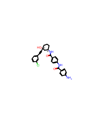 Nc1ccc(C(=O)Nc2ccc(C(=O)N[C@@H]3CCC[C@](O)(C#Cc4cccc(Cl)c4)C3)cc2)cc1